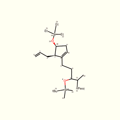 C=CC[C@@H]1C(CCC(O[Si](C)(C)C(C)(C)C)C(C)CCCCC)=CC[C@@H]1O[Si](CC)(CC)CC